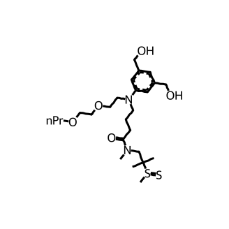 CCCOCCOCCN(CCCC(=O)N(C)CC(C)(C)S(C)=S)c1cc(CO)cc(CO)c1